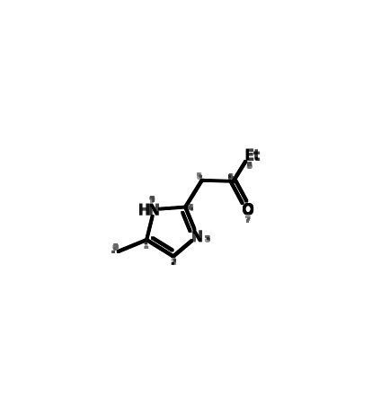 [CH2]c1cnc(CC(=O)CC)[nH]1